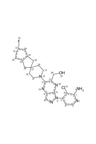 Nc1nccc(-n2ncc3nc(N4CCC5(CC4)Cc4ccc(F)cc4C5)c(CO)nc32)c1Cl